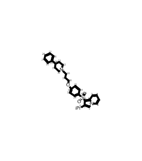 CC(C)c1cn2ccccc2c1S(=O)(=O)c1ccc(OCCCN2CCC(c3ccccc3)CC2)cc1